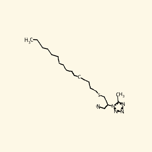 CCCCCCCCCCCCCCCCSCC(C[N])n1nnnc1C